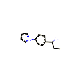 CCC(N)c1ccc(-n2cccc2)cc1